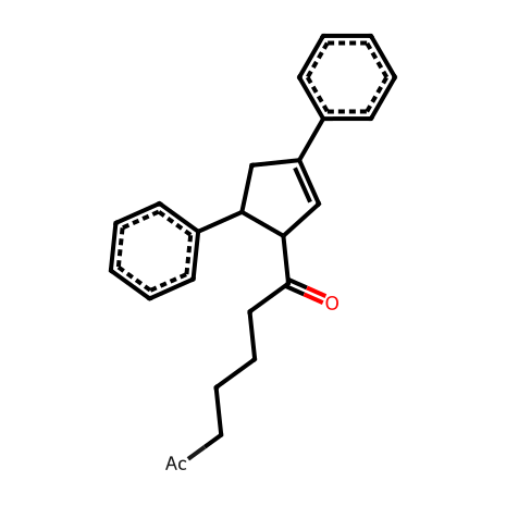 CC(=O)CCCCC(=O)C1C=C(c2ccccc2)CC1c1ccccc1